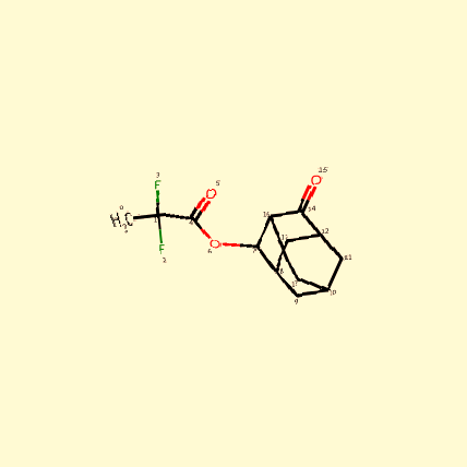 CC(F)(F)C(=O)OC1C2CC3CC(C2)C(=O)C1C3